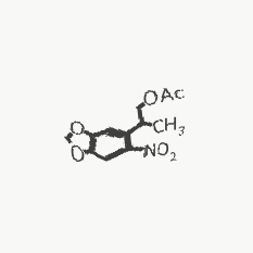 CC(=O)OCC(C)c1cc2c(cc1[N+](=O)[O-])OCO2